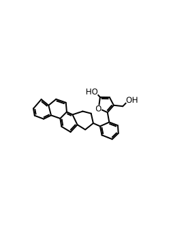 OCc1cc(O)oc1-c1ccccc1C1CCc2c(ccc3c2ccc2ccccc23)C1